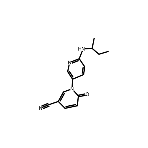 CCC(C)Nc1ccc(-n2cc(C#N)ccc2=O)cn1